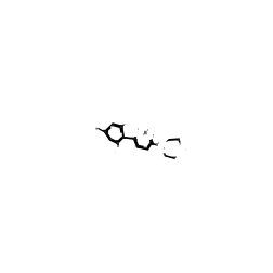 Oc1cc(Cl)cc(Cl)c1-c1ccc(N2CCOCC2)nn1